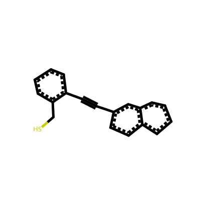 SCc1ccccc1C#Cc1ccc2ccccc2c1